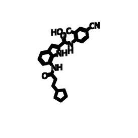 N#Cc1ccc(NC(=O)c2cc3cccc(NC(=O)CCC4CCCC4)c3[nH]2)c(C(=O)O)c1